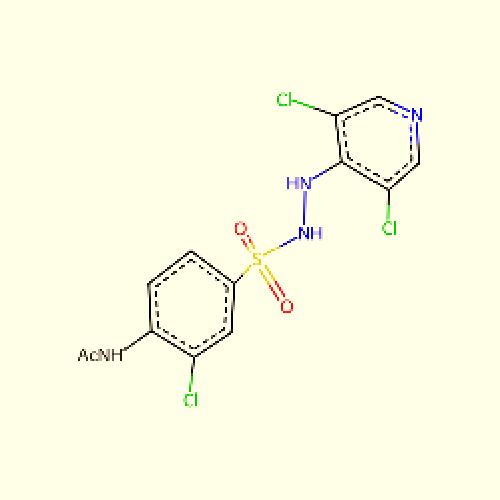 CC(=O)Nc1ccc(S(=O)(=O)NNc2c(Cl)cncc2Cl)cc1Cl